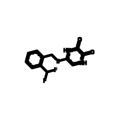 O=c1[nH]cc(SCc2ccccc2C(F)F)[nH]c1=O